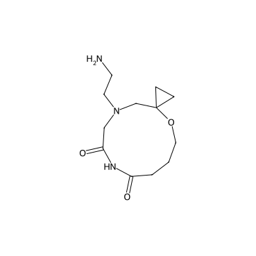 NCCN1CC(=O)NC(=O)CCCOC2(CC2)C1